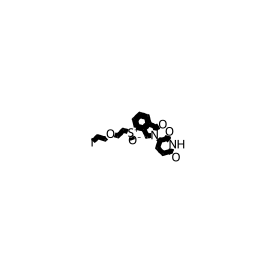 O=C1CCC(N2Cc3c(cccc3[S+]([O-])CCOCCI)C2=O)C(=O)N1